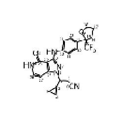 N#CCC(C1CC1)n1nc(Nc2ccc(C3(C(F)(F)F)CCCO3)cc2)c2c(=O)[nH]ccc21